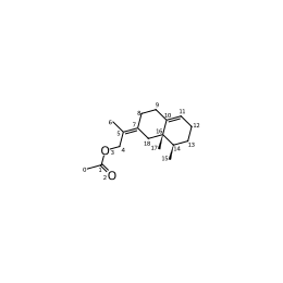 CC(=O)OCC(C)=C1CCC2=CCC[C@@H](C)[C@]2(C)C1